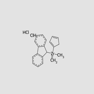 Cl.Cl.[CH2]=[Zr]([CH3])([C]1=CC=CC1)[CH]1c2ccccc2-c2ccccc21